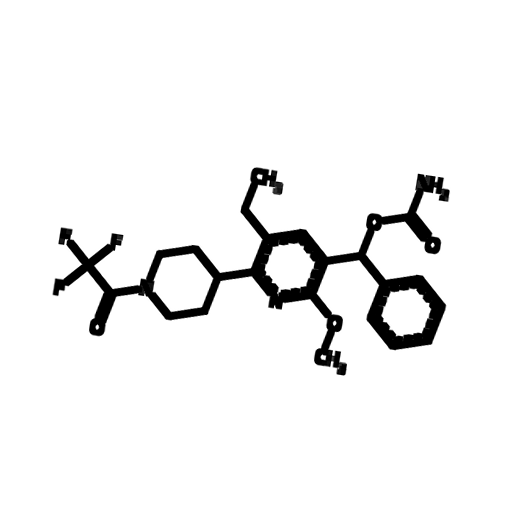 CCc1cc(C(OC(N)=O)c2ccccc2)c(OC)nc1C1CCN(C(=O)C(F)(F)F)CC1